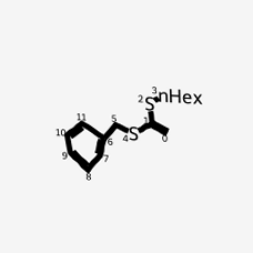 C=C(SCCCCCC)SCc1ccccc1